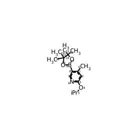 Cc1cc(OC(C)C)ncc1B1OC(C)(C)C(C)(C)O1